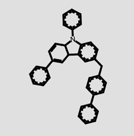 C1=CC2C(C=C1c1ccccc1)c1cc(Cc3ccc(-c4ccccc4)cc3)ccc1N2c1ccccc1